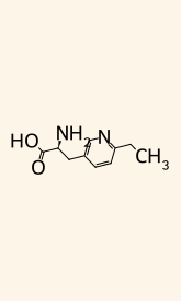 CCc1ccc(C[C@H](N)C(=O)O)cn1